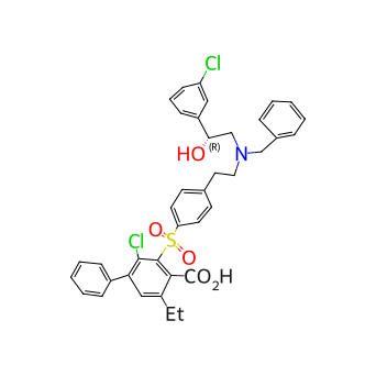 CCc1cc(-c2ccccc2)c(Cl)c(S(=O)(=O)c2ccc(CCN(Cc3ccccc3)C[C@H](O)c3cccc(Cl)c3)cc2)c1C(=O)O